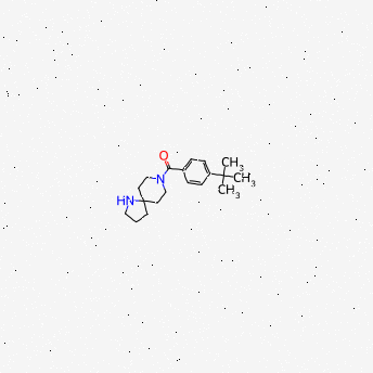 CC(C)(C)c1ccc(C(=O)N2CCC3(CCCN3)CC2)cc1